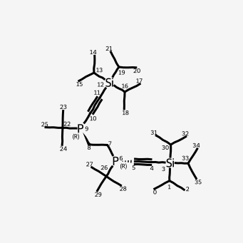 CC(C)[Si](C#C[P@@](CC[P@](C#C[Si](C(C)C)(C(C)C)C(C)C)C(C)(C)C)C(C)(C)C)(C(C)C)C(C)C